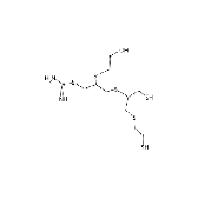 N=C(N)SCC(CSC(CS)CSCCS)SCCO